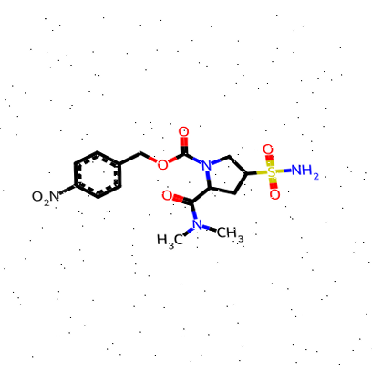 CN(C)C(=O)C1CC(S(N)(=O)=O)CN1C(=O)OCc1ccc([N+](=O)[O-])cc1